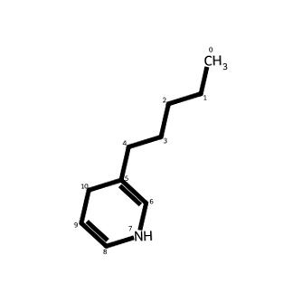 CCCCCC1=CNC=CC1